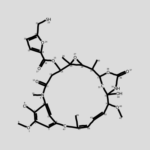 COc1cc2cc(c1Cl)N(C)C(=O)CC(OC(=O)c1ccc(CS)o1)C1(C)OC1C(C)C1CC(O)(NC(=O)O1)C(OC)/C=C/C=C(\C)C2